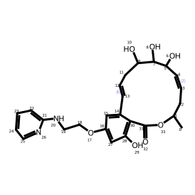 CC1C/C=C\C(O)C(O)C(O)C/C=C/c2cc(OCCNc3ccccn3)cc(O)c2C(=O)O1